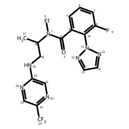 CCN(C(=O)c1cccc(F)c1-n1nccn1)C(C)CNc1cnc(C(F)(F)F)cn1